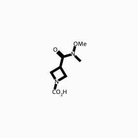 CON(C)C(=O)C1CN(C(=O)O)C1